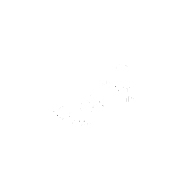 COc1cnccc1-c1ccc2nc(C(CC(C)C)N3C(=O)c4ccccc4C3=O)ccc2c1